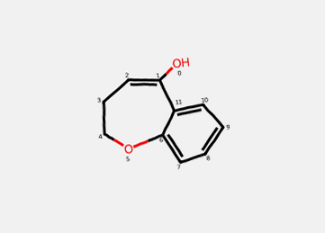 OC1=CCCOc2ccccc21